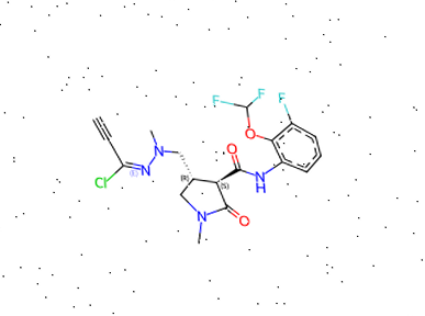 C#C/C(Cl)=N\N(C)C[C@H]1CN(C)C(=O)[C@@H]1C(=O)Nc1cccc(F)c1OC(F)F